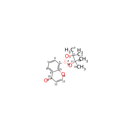 CC1(C)OB(c2cccc3c(=O)ccoc23)OC1(C)C